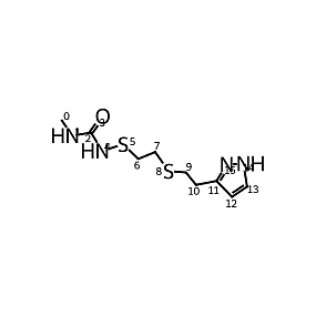 CNC(=O)NSCCSCCc1cc[nH]n1